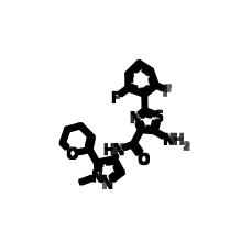 Cn1ncc(NC(=O)c2nc(-c3c(F)cccc3F)sc2N)c1C1=CCCCO1